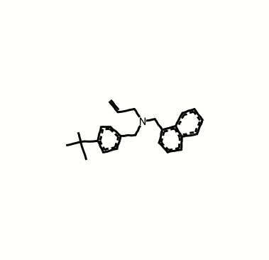 C=CCN(Cc1ccc(C(C)(C)C)cc1)Cc1cccc2ccccc12